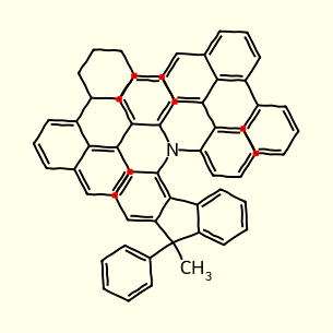 CC1(c2ccccc2)c2ccccc2-c2c(N(c3ccccc3-c3cccc4cccc(-c5ccccc5)c34)c3ccccc3-c3cccc4cccc(C5CCCCC5)c34)cccc21